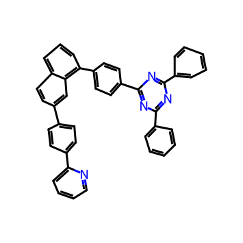 c1ccc(-c2nc(-c3ccccc3)nc(-c3ccc(-c4cccc5ccc(-c6ccc(-c7ccccn7)cc6)cc45)cc3)n2)cc1